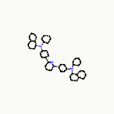 c1ccc(N(c2ccc(-c3cccc(-c4ccc(N(c5ccccc5)c5cccc6ccccc56)cc4)n3)cc2)c2cccc3ccccc23)cc1